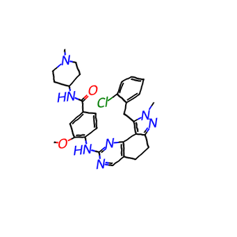 COc1cc(C(=O)NC2CCN(C)CC2)ccc1Nc1ncc2c(n1)-c1c(nn(C)c1Cc1ccccc1Cl)CC2